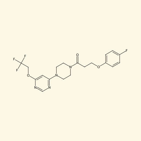 O=C(CCOc1ccc(F)cc1)N1CCN(c2cc(OCC(F)(F)F)ncn2)CC1